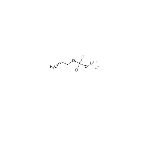 C=CCO[Si]([O-])([O-])[O-].[Li+].[Li+].[Li+]